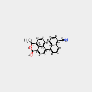 C=c1oc(=O)c2ccc3c4cccc5c(C#N)ccc(c6ccc1c2c63)c54